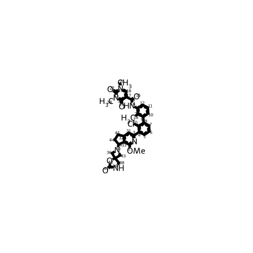 COc1nc(-c2cccc(-c3cccc(NC(=O)c4cn(C)c(=O)n(C)c4=O)c3C)c2Cl)cc2c1C(N1CC3(CNC(=O)O3)C1)CC2